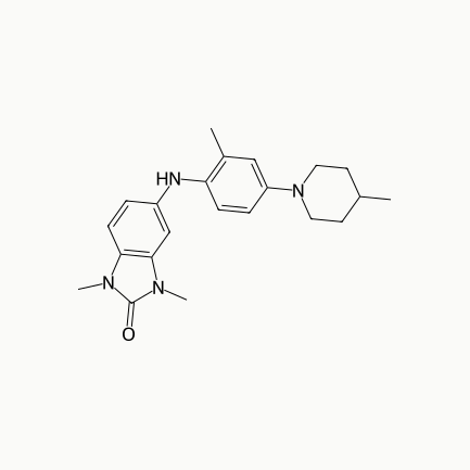 Cc1cc(N2CCC(C)CC2)ccc1Nc1ccc2c(c1)n(C)c(=O)n2C